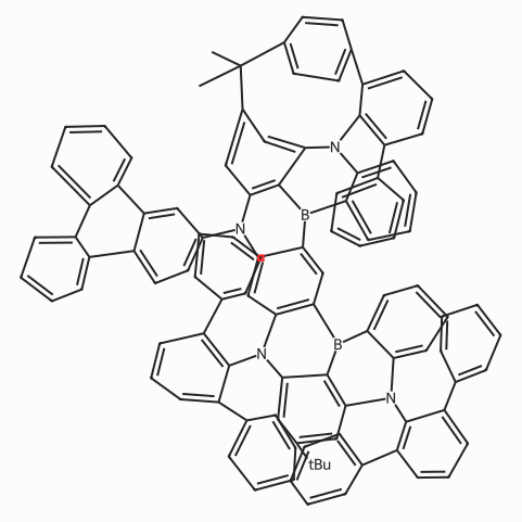 CC(C)(C)c1cc2c3c(c1)N(c1c(-c4ccccc4)cccc1-c1ccccc1)c1cc4c(cc1B3c1ccccc1N2c1c(-c2ccccc2)cccc1-c1ccccc1)B1c2ccccc2N2c3cc(cc(c31)N4c1ccc3c4ccccc4c4ccccc4c3c1)C(C)(C)c1ccc(cc1)-c1cccc(-c3ccccc3)c12